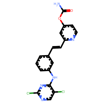 NC(=O)Oc1ccnc(C=Cc2cccc(Nc3nc(Cl)ncc3Cl)c2)c1